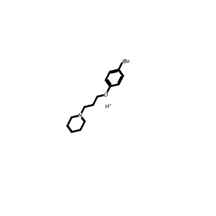 CCC(C)c1ccc(OCCCN2CCCCC2)cc1.[H+]